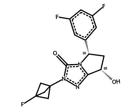 O=c1n(C23CC(F)(C2)C3)nc2n1[C@H](c1cc(F)cc(F)c1)C[C@@H]2O